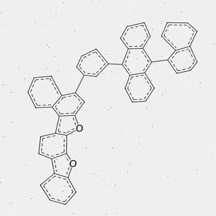 c1cc(-c2c3ccccc3c(-c3cccc4ccccc34)c3ccccc23)cc(-c2cc3oc4c(ccc5c6ccccc6oc54)c3c3ccccc23)c1